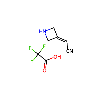 N#CC=C1CNC1.O=C(O)C(F)(F)F